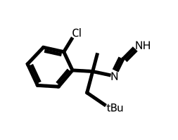 CC(C)(C)CC(C)(N=C=N)c1ccccc1Cl